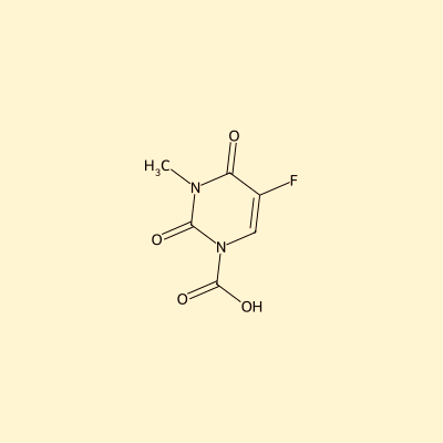 Cn1c(=O)c(F)cn(C(=O)O)c1=O